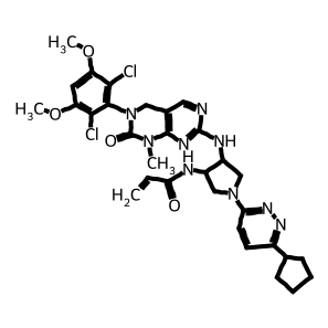 C=CC(=O)NC1CN(c2ccc(C3CCCC3)nn2)CC1Nc1ncc2c(n1)N(C)C(=O)N(c1c(Cl)c(OC)cc(OC)c1Cl)C2